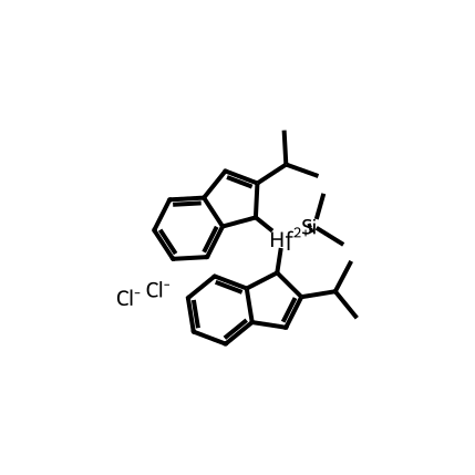 CC(C)C1=Cc2ccccc2[CH]1[Hf+2]([CH]1C(C(C)C)=Cc2ccccc21)=[Si](C)C.[Cl-].[Cl-]